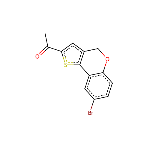 CC(=O)c1cc2c(s1)-c1cc(Br)ccc1OC2